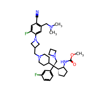 COC(=O)N[C@H]1CCC[C@@H]1[C@](CN1CCC1)(c1cccc(F)c1)C1CCN(CC2CN(c3cc(CN(C)C)c(C#N)cc3F)C2)CC1